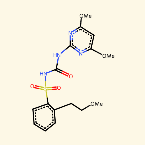 COCCc1ccccc1S(=O)(=O)NC(=O)Nc1nc(OC)cc(OC)n1